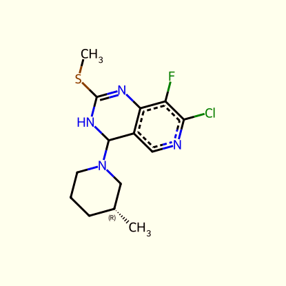 CSC1=Nc2c(cnc(Cl)c2F)C(N2CCC[C@@H](C)C2)N1